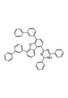 c1ccc(C2=NC(c3ccc(-c4cccc(-c5ccccc5)c4)c4oc5c(-c6cccc(-c7ccccc7)c6)cccc5c34)=NC(c3ccccc3)N2)cc1